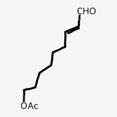 CC(=O)OCCCCCC/C=C/C=O